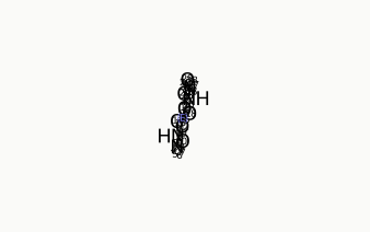 O=C(CN1CCCCC1)NCCOC(=O)/C=C/C(=O)OCCNC(=O)CN1CCOCC1